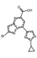 O=C(O)c1cc(-c2cnn(C3CC3)n2)n2nc(Br)cc2n1